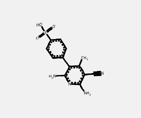 Cc1c(C#N)c(N)nc(N)c1-c1ccc(S(=O)(=O)O)cc1